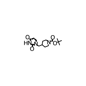 CC(C)(C)OC(=O)N1CCC(Cn2ccc(=O)[nH]c2=O)CC1